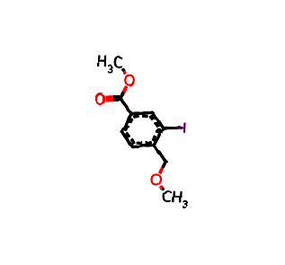 COCc1ccc(C(=O)OC)cc1I